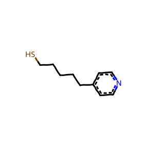 SCCCCCc1ccncc1